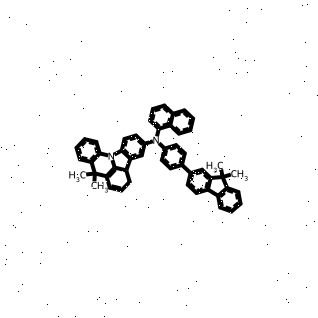 CC1(C)C2=C3C(CC=C2)c2cc(N(c4ccc(-c5ccc6c(c5)C(C)(C)c5ccccc5-6)cc4)c4cccc5ccccc45)ccc2N3c2ccccc21